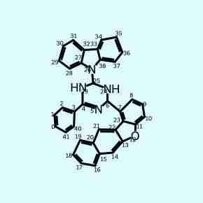 c1ccc(C2=NC(c3cccc4oc5cc6ccccc6cc5c34)NC(n3c4ccccc4c4ccccc43)N2)cc1